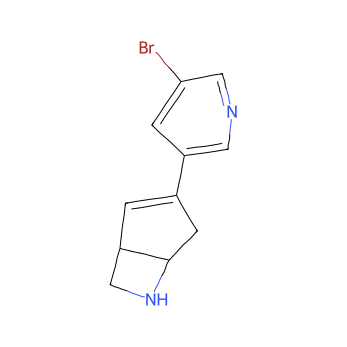 Brc1cncc(C2=CC3CNC3C2)c1